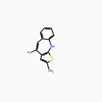 Cc1cc2c(s1)Nc1ccccc1C=C2N